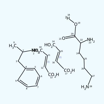 CC(N)Cc1ccccc1.O=C(O)/C=C/C(=O)O.O=C(O)/C=C/C(=O)O.[2H]OC(=O)C(N)CCCCN